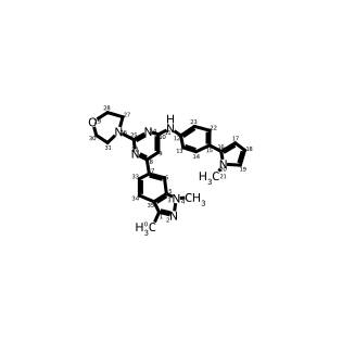 Cc1nn(C)c2cc(-c3cc(Nc4ccc(-c5cccn5C)cc4)nc(N4CCOCC4)n3)ccc12